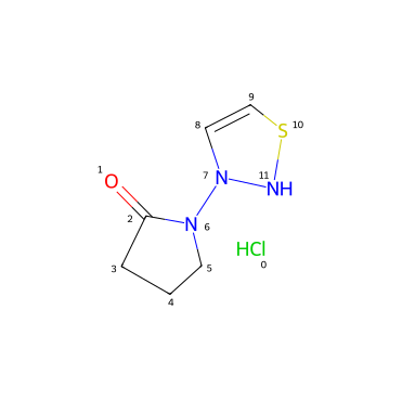 Cl.O=C1CCCN1N1C=CSN1